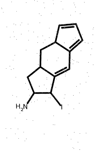 NC1CC2CC3C=CC=C3C=C2C1I